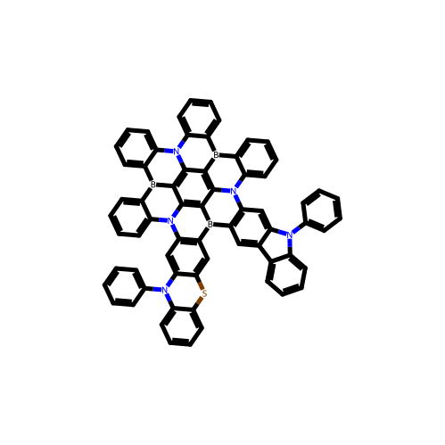 c1ccc(N2c3ccccc3Sc3cc4c(cc32)N2c3ccccc3B3c5ccccc5N5c6ccccc6B6c7ccccc7N7c8cc9c(cc8B4c4c2c3c5c6c47)c2ccccc2n9-c2ccccc2)cc1